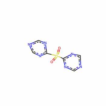 O=S(=O)(c1ncncn1)c1ncncn1